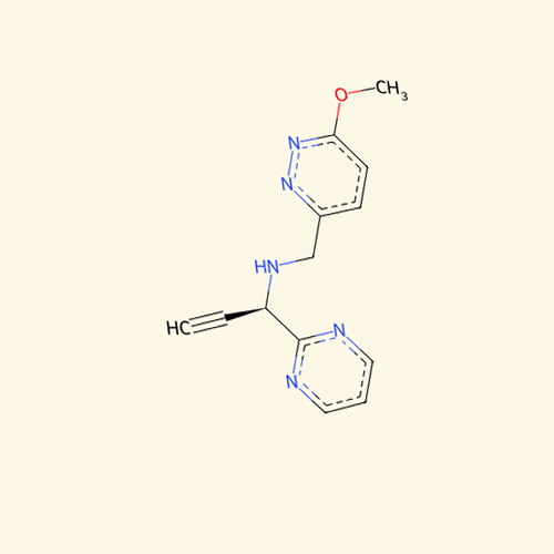 C#C[C@@H](NCc1ccc(OC)nn1)c1ncccn1